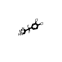 FC(F)(c1ccc(Cl)c(Cl)c1)c1c[nH]nn1